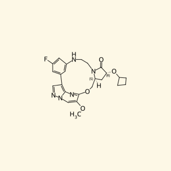 COc1cn2ncc3c2nc1OC[C@@H]1C[C@@H](OC2CCC2)C(=O)N1CCNc1cc(F)cc-3c1